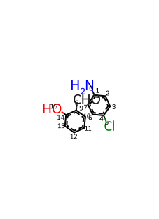 Nc1ccc(Cl)cc1.O=Cc1ccccc1O